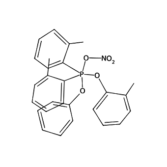 Cc1ccccc1OP(Oc1ccccc1)(O[N+](=O)[O-])(c1ccccc1C)c1ccccc1C